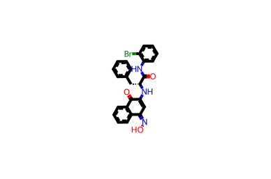 O=C1C(N[C@H](Cc2ccccc2)C(=O)Nc2ccccc2Br)=C/C(=N/O)c2ccccc21